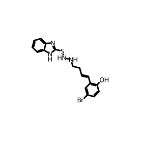 Oc1ccc(Br)cc1/C=C/CCNNSc1nc2ccccc2[nH]1